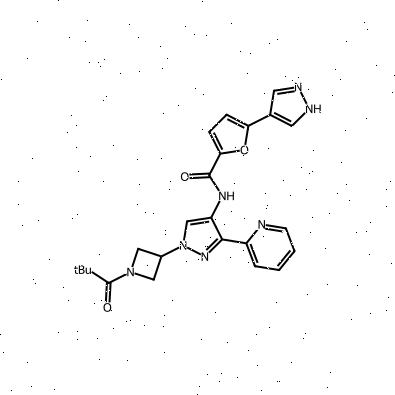 CC(C)(C)C(=O)N1CC(n2cc(NC(=O)c3ccc(-c4cn[nH]c4)o3)c(-c3ccccn3)n2)C1